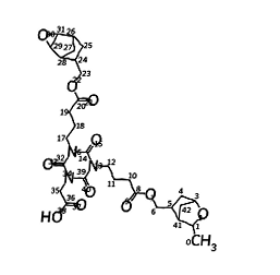 CC1OC2CC(COC(=O)CCCn3c(=O)n(CCCC(=O)OCC4CC5CC4C4OC54)c(=O)n(CC(=O)O)c3=O)C1C2